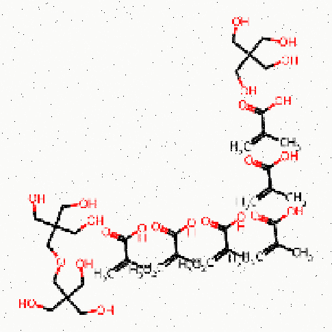 C=C(C)C(=O)O.C=C(C)C(=O)O.C=C(C)C(=O)O.C=C(C)C(=O)O.C=C(C)C(=O)O.C=C(C)C(=O)O.OCC(CO)(CO)CO.OCC(CO)(CO)COCC(CO)(CO)CO